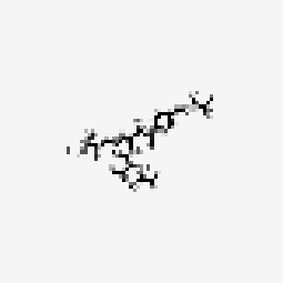 CC(C)C(=O)N[C@H](C(=O)N[C@@H](CCCNC(N)O)C(=O)Nc1ccc(COC(=O)C(C)C)cc1)C(C)C